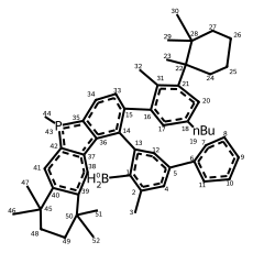 Bc1c(C)cc(-c2ccccc2)cc1-c1c(-c2cc(CCCC)cc(C3(C)CCCCC3(C)C)c2C)ccc2c1c1cc3c(cc1p2C)C(C)(C)CCC3(C)C